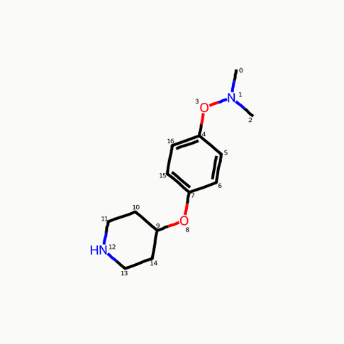 CN(C)Oc1ccc(OC2CCNCC2)cc1